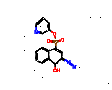 [N-]=[N+]=C1C=C(S(=O)(=O)Oc2cccnc2)c2ccccc2C1O